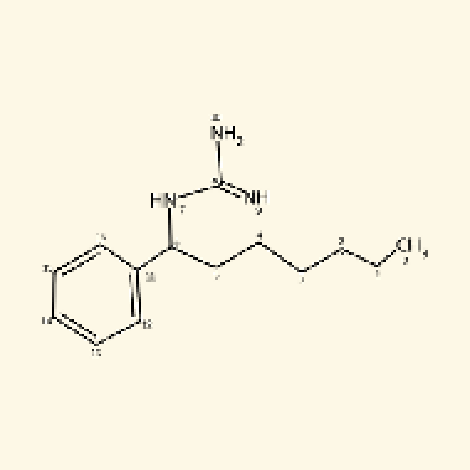 CC[CH]CCCC(NC(=N)N)c1ccccc1